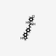 N=C(/C=C/c1ccc(-c2ccc3c(c2)CCN3)cc1)Nc1ccc(Cl)cc1